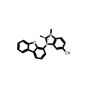 C[C@H]1N(C)c2ccc(C#N)cc2N1c1cccc2c1oc1ccccc12